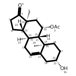 CC(=O)O[C@H]1C[C@]2(C)C(=O)CC[C@H]2[C@@H]2CC=C3C[C@@H](O)CC[C@]3(C)[C@H]21